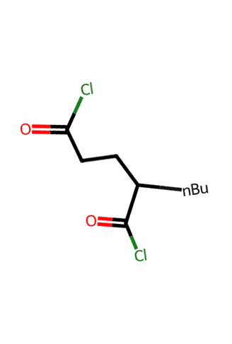 CCCCC(CCC(=O)Cl)C(=O)Cl